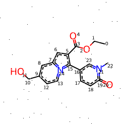 CCOC(=O)c1cc2cc(CO)ccn2c1-c1ccc(=O)n(C)c1